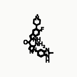 Cc1nc2cc(-n3ncc(C(=O)c4cc5cc(C6CCN(C)CC6)c(F)cc5[nH]4)c3N)ccc2[nH]1